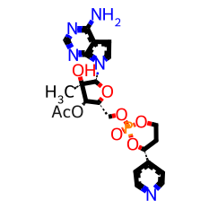 CC(=O)O[C@@H]1[C@@H](COP2(=O)OCC[C@H](c3ccncc3)O2)O[C@@H](n2ccc3c(N)ncnc32)[C@]1(C)O